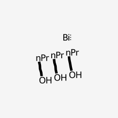 CCCO.CCCO.CCCO.[Bi]